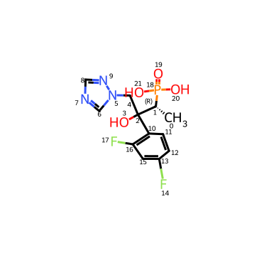 C[C@H](C(O)(Cn1cncn1)c1ccc(F)cc1F)P(=O)(O)O